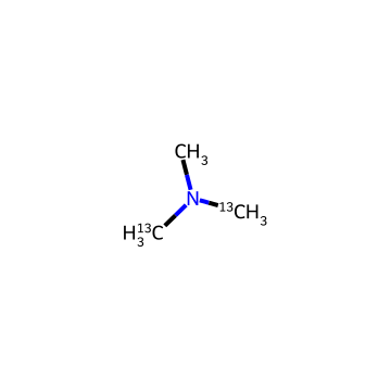 CN([13CH3])[13CH3]